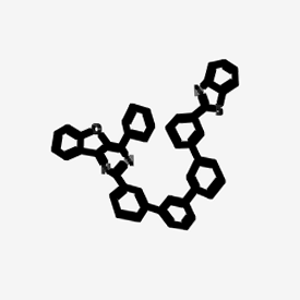 c1ccc(-c2nc(-c3cccc(-c4cccc(-c5cccc(-c6cccc(-c7nc8ccccc8s7)c6)c5)c4)c3)nc3c2oc2ccccc23)cc1